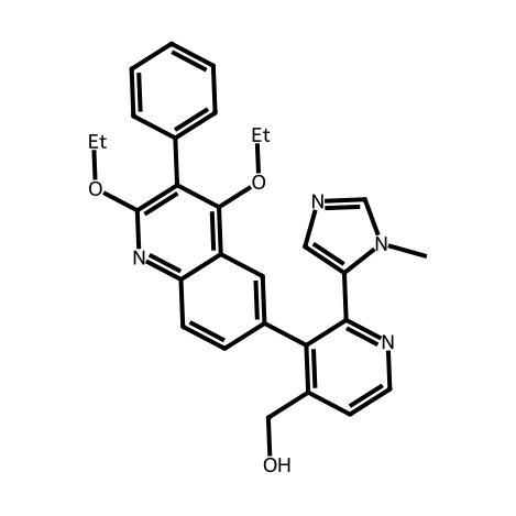 CCOc1nc2ccc(-c3c(CO)ccnc3-c3cncn3C)cc2c(OCC)c1-c1ccccc1